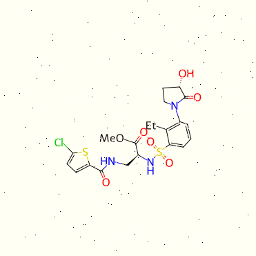 CCc1c(N2CC[C@H](O)C2=O)cccc1S(=O)(=O)N[C@@H](CNC(=O)c1ccc(Cl)s1)C(=O)OC